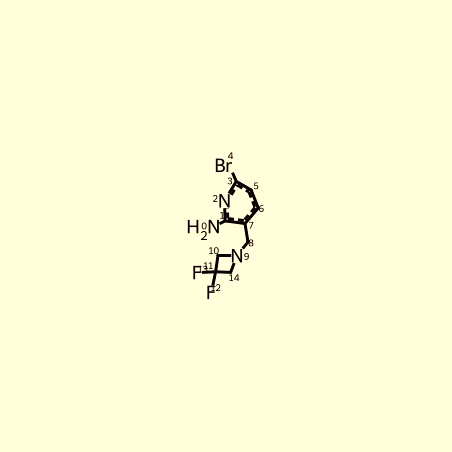 Nc1nc(Br)ccc1CN1CC(F)(F)C1